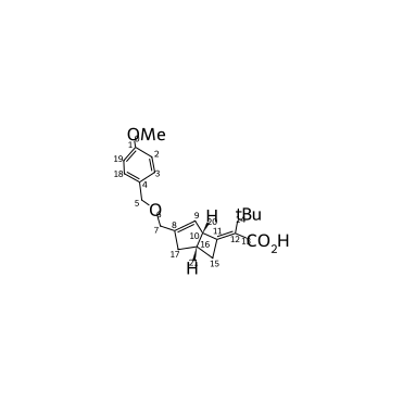 COc1ccc(COCC2=C[C@@H]3C(=C(C(=O)O)C(C)(C)C)C[C@@H]3C2)cc1